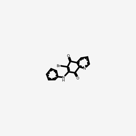 O=C1C(Br)=C(Nc2ccccc2)C(=O)c2ncccc21